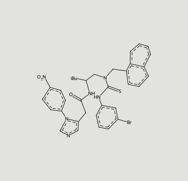 CCC(C)C(CN(Cc1cccc2ccccc12)C(=S)Nc1cccc(Br)c1)NC(=O)Cc1cncn1-c1ccc([N+](=O)[O-])cc1